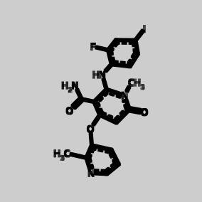 Cc1ncccc1Oc1cc(=O)n(C)c(Nc2ccc(I)cc2F)c1C(N)=O